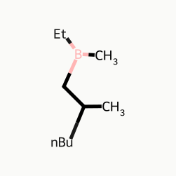 CCCCC(C)CB(C)CC